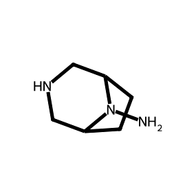 NN1C2CCC1CNC2